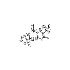 Cc1ccc(Nc2nc3ccccc3[nH]2)cc1C(F)(F)F